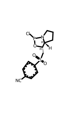 N#Cc1ccc(S(=O)(=O)C[C@@H]2OP(Cl)N3CCC[C@H]23)cc1